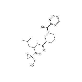 CC(C)CC(NC(=O)C1CCC[C@H](C(=O)c2ccccc2)C1)C(=O)C1(CO)CO1